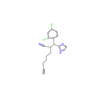 C#CCCCCC(C#N)C(c1ncc[nH]1)c1ccc(Cl)cc1Cl